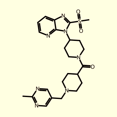 Cc1ncc(CN2CCC(C(=O)N3CCC(n4c(S(C)(=O)=O)nc5cccnc54)CC3)CC2)cn1